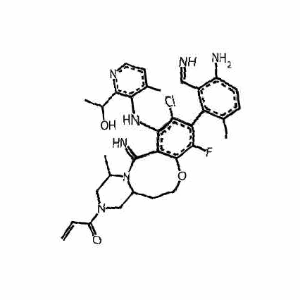 C=CC(=O)N1CC(C)N2C(=N)c3c(Nc4c(C)ccnc4C(C)O)c(Cl)c(-c4c(C)ccc(N)c4C=N)c(F)c3OCCC2C1